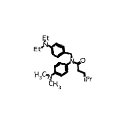 CCN(CC)c1ccc(CN(C(=O)CCC(C)C)c2ccc(N(C)C)cc2)cc1